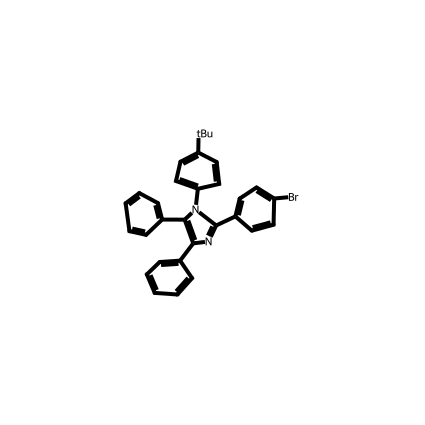 CC(C)(C)c1ccc(-n2c(-c3ccc(Br)cc3)nc(-c3ccccc3)c2-c2ccccc2)cc1